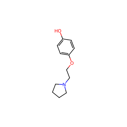 Oc1ccc(OCCN2CCCC2)cc1